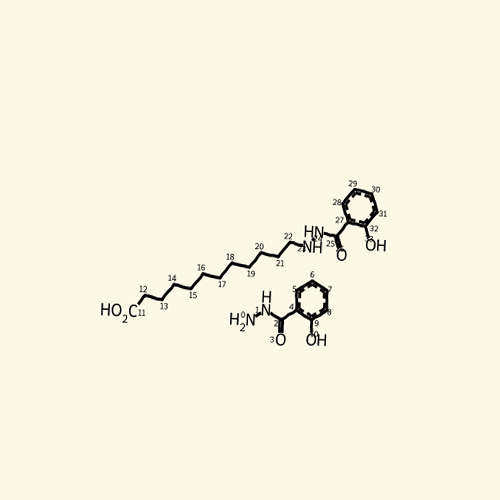 NNC(=O)c1ccccc1O.O=C(O)CCCCCCCCCCCNNC(=O)c1ccccc1O